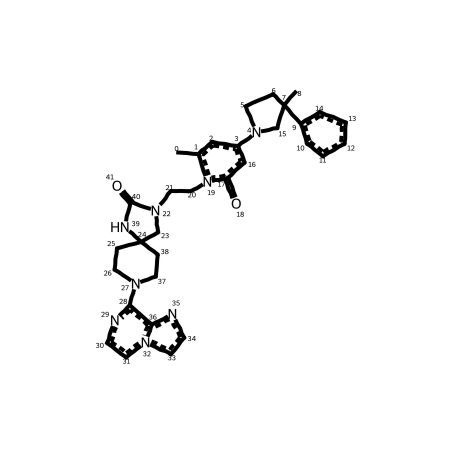 Cc1cc(N2CCC(C)(c3ccccc3)C2)cc(=O)n1CCN1CC2(CCN(c3nccn4ccnc34)CC2)NC1=O